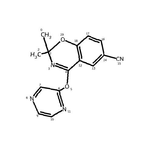 CC1(C)N=C(Oc2cnccn2)c2cc(C#N)ccc2O1